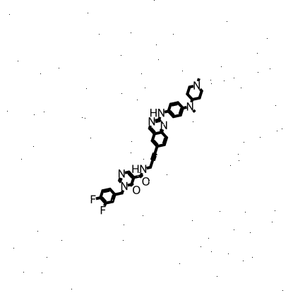 CN1CCC(N(C)c2ccc(Nc3ncc4cc(C#CCNC(=O)c5cncn(Cc6ccc(F)c(F)c6)c5=O)ccc4n3)cc2)CC1